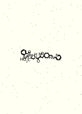 O=C(NC[C@H](NS(=O)(=O)c1ccccc1Br)C(=O)O)C1=NOC2(CCC(CNc3ccccn3)CC2)C1